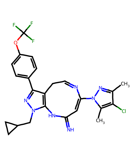 Cc1nn(C2=C/C(=N)Nc3c(c(-c4ccc(OC(F)(F)F)cc4)nn3CC3CC3)C/C=N\2)c(C)c1Cl